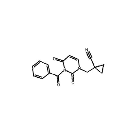 N#CC1(Cn2ccc(=O)n(C(=O)c3ccccc3)c2=O)CC1